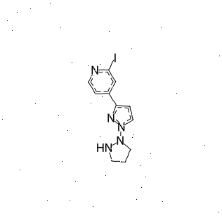 Ic1cc(-c2ccn(N3CCCN3)n2)ccn1